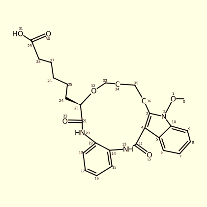 COn1c2c(c3ccccc31)C(=O)Nc1ccccc1NC(=O)[C@@H](CCCCCC(=O)O)OCCCC2